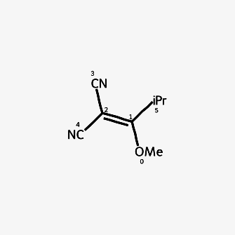 COC(=C(C#N)C#N)C(C)C